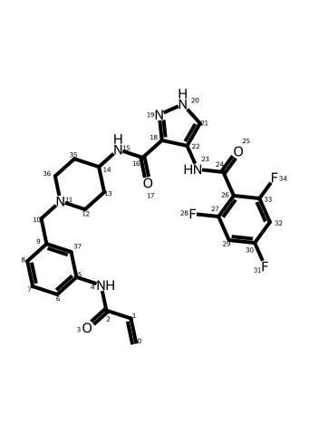 C=CC(=O)Nc1cccc(CN2CCC(NC(=O)c3n[nH]cc3NC(=O)c3c(F)cc(F)cc3F)CC2)c1